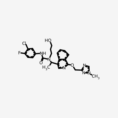 CC(c1cnc(OCc2ncn(C)n2)c2ccccc12)N(CCCO)C(=O)Nc1ccc(F)c(Cl)c1